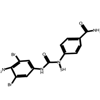 NC(=O)c1ccc(N(S)C(=O)Nc2cc(Br)c(N)c(Br)c2)cc1